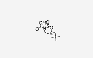 CC(C)(C)C[C@H]1CCN(C(=O)O)S(=O)O1